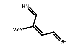 B=C/C=C(\C=N)SC